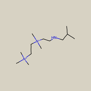 CC(C)CNCC[N+](C)(C)CC[N+](C)(C)C